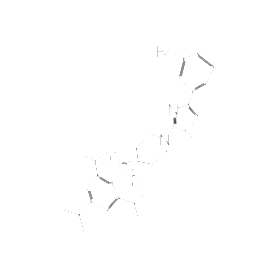 CC(C)c1cc(C(C)C)c(S(=O)(=O)C2CCN(c3nc(-c4cccc(Br)c4)cs3)CC2)c(C(C)C)c1